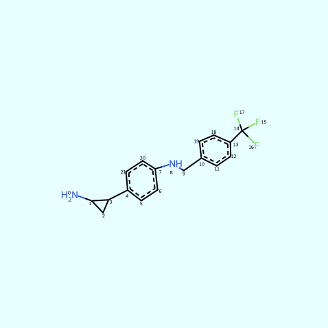 NC1CC1c1ccc(NCc2ccc(C(F)(F)F)cc2)cc1